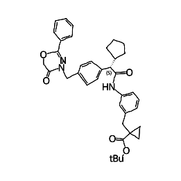 CC(C)(C)OC(=O)C1(Cc2cccc(NC(=O)[C@H](c3ccc(CN4N=C(c5ccccc5)OCC4=O)cc3)C3CCCC3)c2)CC1